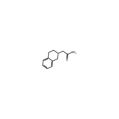 NC(=O)CN1CCc2ccccc2C1